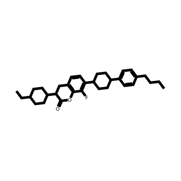 CCCCc1ccc(C2CCC(c3ccc4c(c3F)OC(=O)C(C3CCC(CC)CC3)C4)CC2)cc1